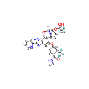 CCNC(=O)c1ccc(Oc2cc3nc(-c4ccccn4)[nH]c3cc2C2CCCN2C(C)=O)cc1C(F)(F)F.O=C(O)C(F)(F)F